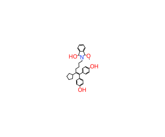 COC1c2ccccc2C(O)N1CCCCC(=C(c1ccc(O)cc1)c1ccc(O)cc1)C1CCCC1